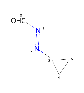 O=CN=NC1CC1